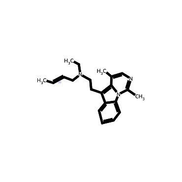 C/C=C/CN(CC)CCc1c2ccccc2n2c(C)ncc(C)c12